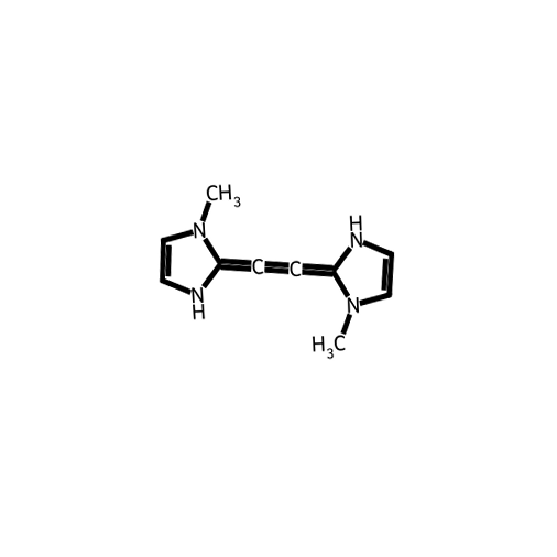 CN1C=CNC1=C=C=C1NC=CN1C